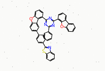 c1ccc(-c2nc(-c3cccc4c3oc3ccccc34)nc(-c3cccc4oc5ccc(-c6ccc(-c7nc8ccccc8s7)cc6)cc5c34)n2)cc1